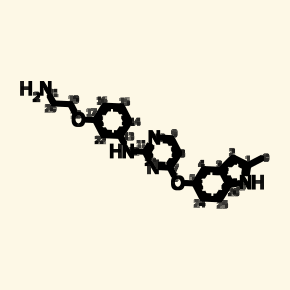 Cc1cc2cc(Oc3ccnc(Nc4cccc(OCCN)c4)n3)ccc2[nH]1